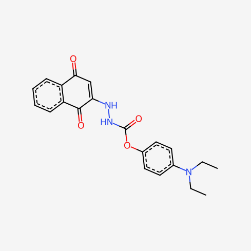 CCN(CC)c1ccc(OC(=O)NNC2=CC(=O)c3ccccc3C2=O)cc1